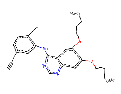 C#Cc1ccc(C)c(Nc2ncnc3cc(OCCOC)c(OCCOC)cc23)c1